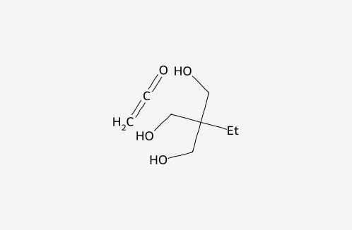 C=C=O.CCC(CO)(CO)CO